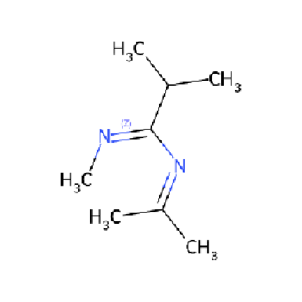 C/N=C(\N=C(C)C)C(C)C